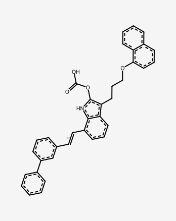 O=C(O)Oc1[nH]c2c(/C=C/c3cccc(-c4ccccc4)c3)cccc2c1CCCOc1cccc2ccccc12